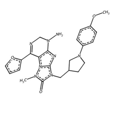 COc1ccc(N2CCC(Cn3c(=O)n(C)n4c5c(nc34)N(N)CN=C5c3ccco3)C2)cc1